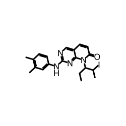 CCC(C(C)I)n1c(=O)ccc2cnc(Nc3ccc(C)c(C)c3)nc21